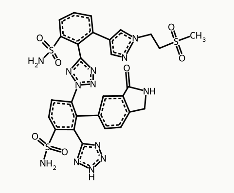 CS(=O)(=O)CCn1cc(-c2cccc(S(N)(=O)=O)c2-c2nnn(-c3ccc(S(N)(=O)=O)c(-c4nn[nH]n4)c3-c3ccc4c(c3)C(=O)NC4)n2)cn1